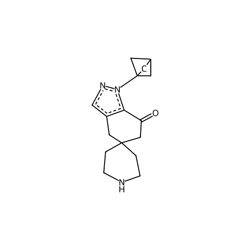 O=C1CC2(CCNCC2)Cc2cnn(C34CC(C3)C4)c21